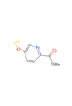 COC(=O)c1ccc(OS)cn1